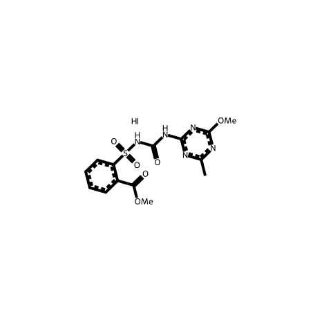 COC(=O)c1ccccc1S(=O)(=O)NC(=O)Nc1nc(C)nc(OC)n1.I